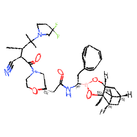 CC(C(C#N)C(=O)N1CCO[C@@H](CC(=O)N[C@@H](Cc2ccccc2)B2O[C@@H]3C[C@@H]4C[C@@H](C4(C)C)[C@]3(C)O2)C1)C(C)(C)N1CCC(F)(F)C1